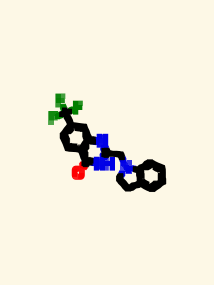 O=c1[nH]c(CN2CCc3ccccc32)nc2cc(C(F)(F)F)ccc12